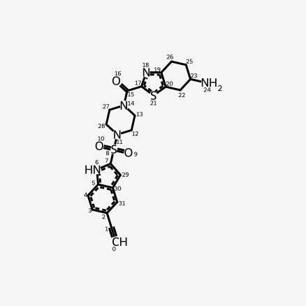 C#Cc1ccc2[nH]c(S(=O)(=O)N3CCN(C(=O)c4nc5c(s4)CC(N)CC5)CC3)cc2c1